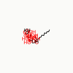 CCCCCCCCCCC(C(=O)O)C(=O)O.O=C(O)CC(=O)O.O=C(O)CC(=O)O.O=C(O)CC(=O)O.[KH].[LiH]